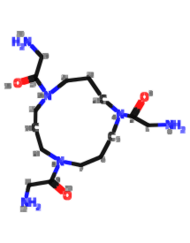 NCC(=O)N1CCCN(C(=O)CN)CCCN(C(=O)CN)CCC1